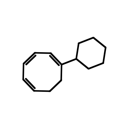 C1=CC=C(C2CCCCC2)CCC=C1